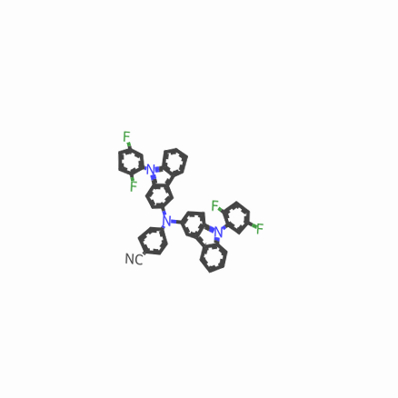 N#Cc1ccc(N(c2ccc3c(c2)c2ccccc2n3-c2cc(F)ccc2F)c2ccc3c(c2)c2ccccc2n3-c2cc(F)ccc2F)cc1